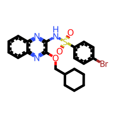 O=S(=O)(Nc1nc2ccccc2nc1OCC1CCCCC1)c1ccc(Br)cc1